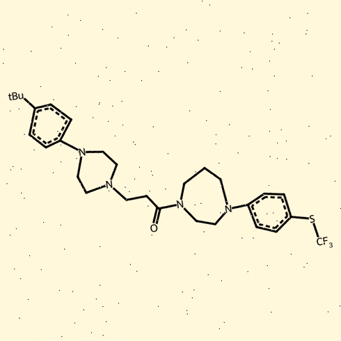 CC(C)(C)c1ccc(N2CCN(CCC(=O)N3CCCN(c4ccc(SC(F)(F)F)cc4)CC3)CC2)cc1